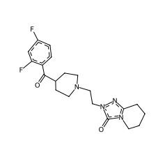 O=C(c1ccc(F)cc1F)C1CCN(CCn2nc3n(c2=O)CCCC3)CC1